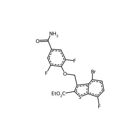 CCOC(=O)c1sc2c(F)ccc(Br)c2c1COc1c(F)cc(C(N)=O)cc1F